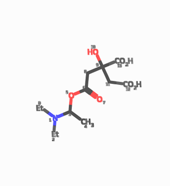 CCN(CC)C(C)OC(=O)CC(O)(CC(=O)O)C(=O)O